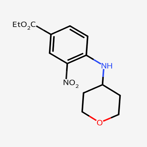 CCOC(=O)c1ccc(NC2CCOCC2)c([N+](=O)[O-])c1